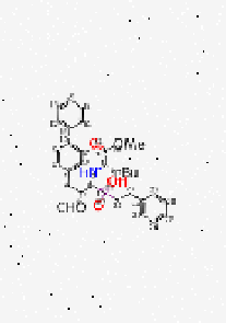 CCCC[C@H](NC([C@H](C=O)Cc1ccc(-c2ccccc2)cc1)P(=O)(O)CCc1ccccc1)C(=O)OC